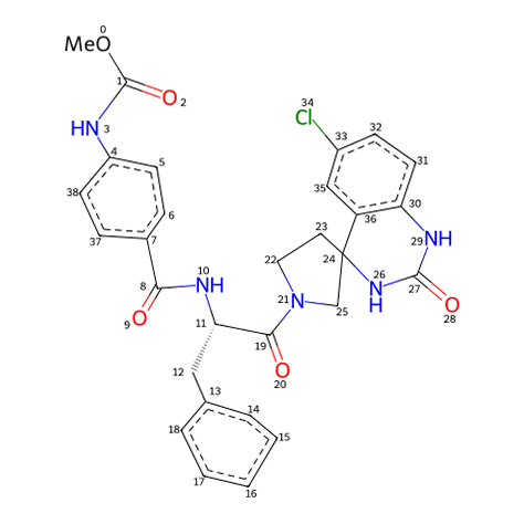 COC(=O)Nc1ccc(C(=O)N[C@@H](Cc2ccccc2)C(=O)N2CCC3(C2)NC(=O)Nc2ccc(Cl)cc23)cc1